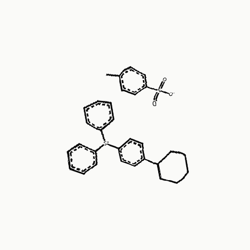 Cc1ccc(S(=O)(=O)[O-])cc1.c1ccc([S+](c2ccccc2)c2ccc(C3CCCCC3)cc2)cc1